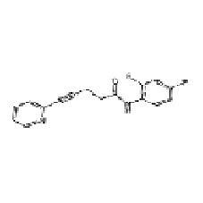 O=C(CCC#Cc1ccccn1)Nc1ccc(F)cc1F